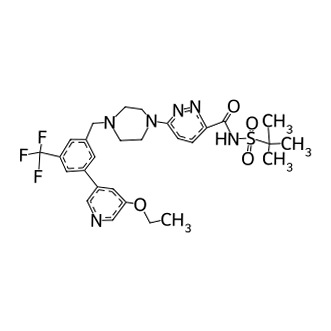 CCOc1cncc(-c2cc(CN3CCN(c4ccc(C(=O)NS(=O)(=O)C(C)(C)C)nn4)CC3)cc(C(F)(F)F)c2)c1